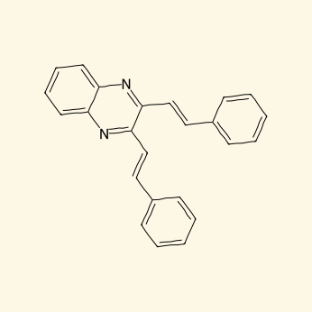 C(=C\c1nc2ccccc2nc1/C=C/c1ccccc1)/c1ccccc1